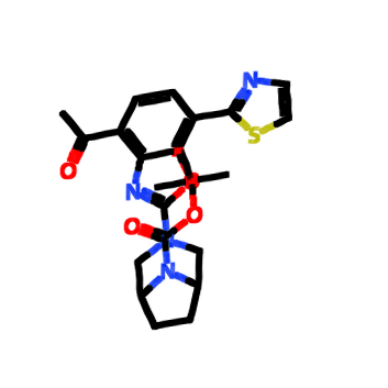 CC(=O)c1ccc(-c2nccs2)c2oc(N3CC4CCC(C3)N4C(=O)OC(C)(C)C)nc12